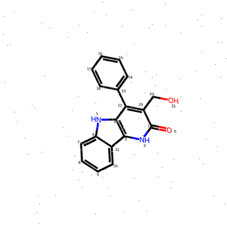 O=c1[nH]c2c([nH]c3ccccc32)c(-c2ccccc2)c1CO